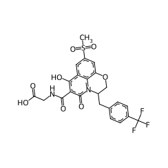 CS(=O)(=O)c1cc2c3c(c1)c(O)c(C(=O)NCC(=O)O)c(=O)n3C(Cc1ccc(C(F)(F)F)cc1)CO2